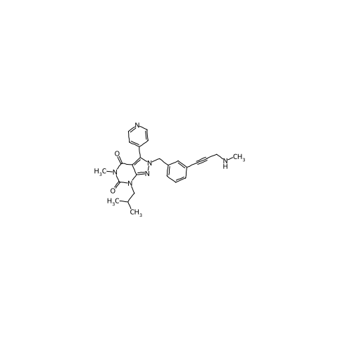 CNCC#Cc1cccc(Cn2nc3c(c2-c2ccncc2)c(=O)n(C)c(=O)n3CC(C)C)c1